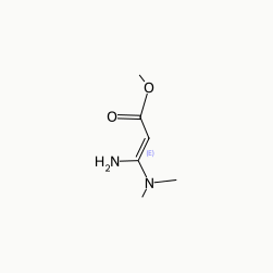 COC(=O)/C=C(\N)N(C)C